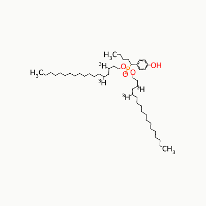 [3H]C(CCCCCCCCCCCCC)CC([3H])CCOP(=O)(OCCC([3H])CC([3H])CCCCCCCCCCCCC)C(CCCC)c1ccc(O)cc1